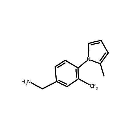 Cc1cccn1-c1ccc(CN)cc1C(F)(F)F